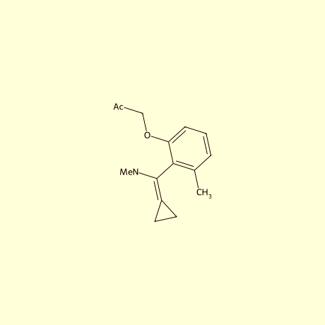 CNC(=C1CC1)c1c(C)cccc1OCC(C)=O